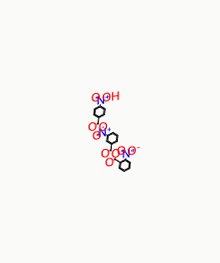 O=C(OC(=O)c1ccccc1[N+](=O)[O-])c1cccc([N+](=O)OC(=O)c2ccc([N+](=O)O)cc2)c1